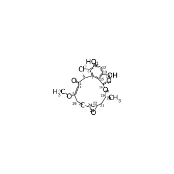 CO/C1=C\C(=O)Cc2c(Cl)c(O)cc(O)c2C(=O)O[C@H](C)CC2OC2CC1